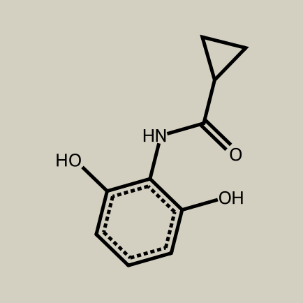 O=C(Nc1c(O)cccc1O)C1CC1